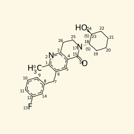 Cc1nc2c(cc1Cc1cccc(F)c1)C(=O)N([C@H]1CCCC[C@@H]1O)CC2